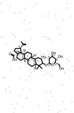 C=C(C)[C@@H]1CC[C@]2(C(=O)O)CC[C@]3(C)[C@H](CC[C@@H]4[C@@]5(C)CCC(O[C@@H]6O[C@H](CO)[C@@H](O)[C@H](O)[C@H]6O)C(C)(C)[C@@H]5CC[C@]43C)[C@@H]12